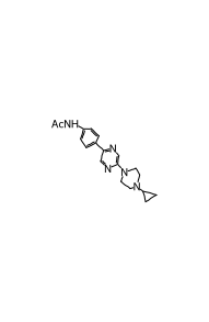 CC(=O)Nc1ccc(-c2cnc(N3CCN(C4CC4)CC3)cn2)cc1